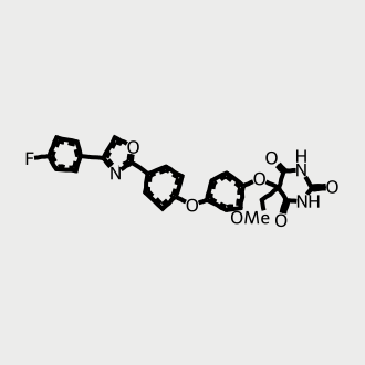 COCC1(Oc2ccc(Oc3ccc(-c4nc(-c5ccc(F)cc5)co4)cc3)cc2)C(=O)NC(=O)NC1=O